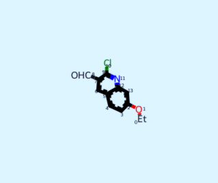 CCOc1ccc2cc(C=O)c(Cl)nc2c1